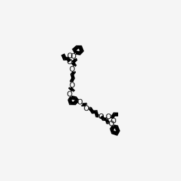 C=CC(=O)OC(COCCCCOCCOc1cccc(OCCOCCCCOCC(COc2ccccc2)OC(=O)C=C)c1)COc1ccccc1